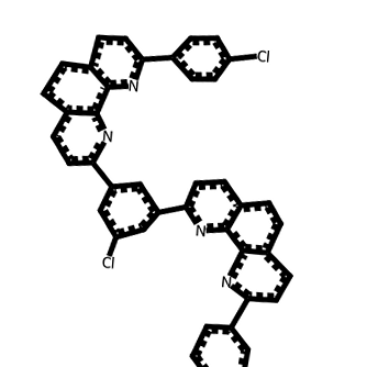 Clc1ccc(-c2ccc3ccc4ccc(-c5cc(Cl)cc(-c6ccc7ccc8ccc(-c9ccccc9)nc8c7n6)c5)nc4c3n2)cc1